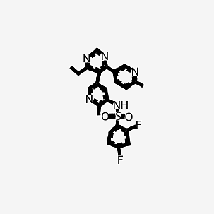 CCc1ncnc(-c2ccc(C)nc2)c1-c1cnc(C)c(NS(=O)(=O)c2ccc(F)cc2F)c1